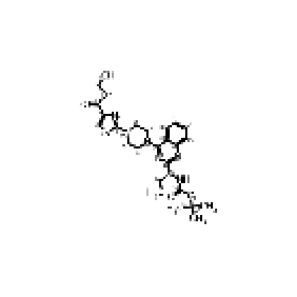 CCOC(=O)c1csc(N2CCN(c3nc([C@H](CC)NC(=O)OC(C)(C)C)nc4ccccc34)CC2)n1